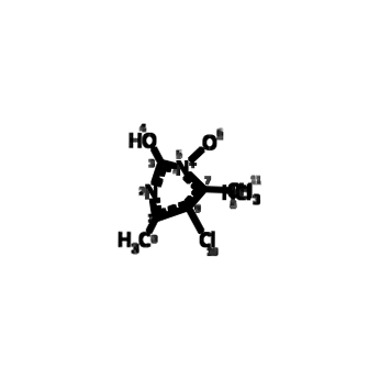 Cc1nc(O)[n+]([O-])c(C)c1Cl.Cl